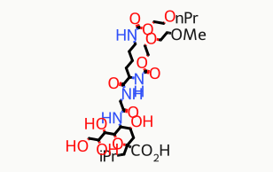 CCCOCCOC(=O)NCCCCC(NC(=O)OCCOCCOC)C(=O)NCC(=O)NC1C(O)CC(CC(C)C)(C(=O)O)OC1C(O)C(O)CO